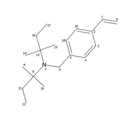 C=Cc1ccc(CN(C(C)(C)CC)C(C)(C)CC)cc1